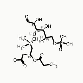 CCC(=O)O[C@H](CC(=O)[O-])C[N+](C)(C)C.O=C[C@H](O)[C@@H](O)[C@H](O)[C@H](O)COP(=O)(O)O